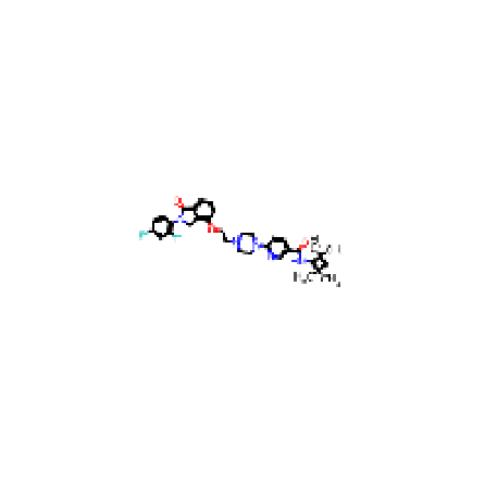 CC1(C)CC(C)(C)C1NC(=O)c1ccc(N2CCN(CCOc3cccc4c3CN(c3ccc(F)cc3F)C4=O)CC2)nc1